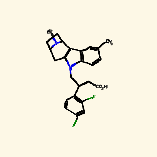 CCN1C2CCC1c1c(n(CC(CC(=O)O)c3ccc(F)cc3F)c3ccc(C)cc13)C2